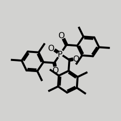 Cc1cc(C)c(C(=O)P(=O)(C(=O)c2c(C)cc(C)cc2C)C(=O)c2c(C)c(C)cc(C)c2C)c(C)c1